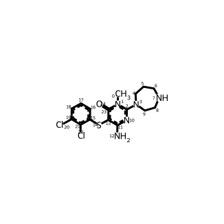 Cn1c(N2CCCNCC2)nc(N)c(Sc2cccc(Cl)c2Cl)c1=O